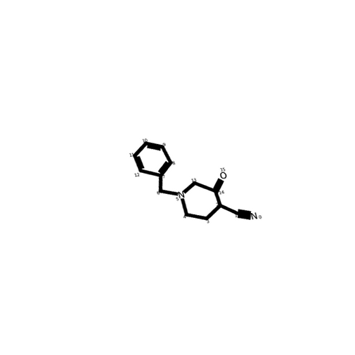 N#CC1CCN(Cc2ccccc2)CC1=O